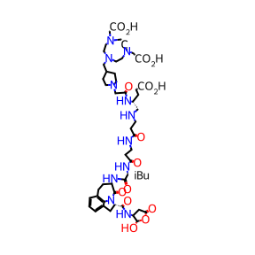 CC[C@H](C)[C@H](NC(=O)CCNC(=O)CCNC[C@@H](CCC(=O)O)NC(=O)CN1CCC(CN2CCN(CC(=O)O)CCN(CC(=O)O)CC2)CC1)C(=O)N[C@H]1CCc2cccc3c2N(C1=O)[C@H](C(=O)NC1CC(=O)OC1O)C3